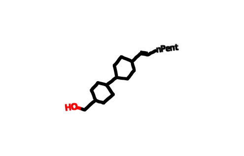 CCCCC/C=C/C1CCC(C2CCC(CO)CC2)CC1